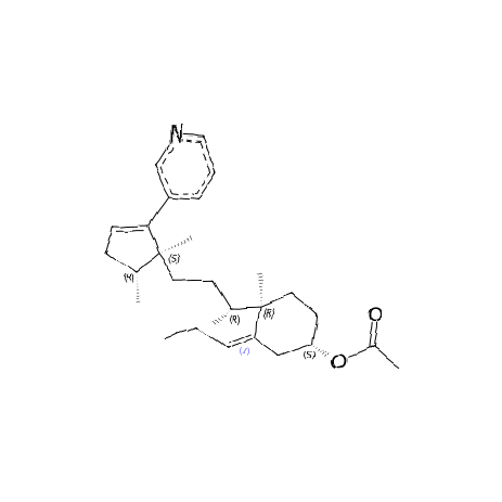 CC/C=C1/C[C@@H](OC(C)=O)CC[C@]1(C)[C@H](C)CC[C@]1(C)C(c2cccnc2)=CC[C@H]1C